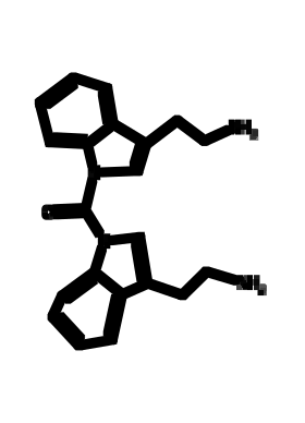 NCCc1cn(C(=O)n2cc(CCN)c3ccccc32)c2ccccc12